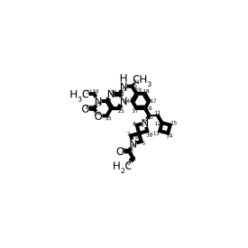 C=CC(=O)N1CC2(C1)CN([C@H](CC1CCC1)c1ccc([C@H](C)Nc3ncc4c(n3)N(CC)C(=O)OC4)cc1)C2